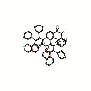 O=C1C(Cl)=C(Cl)C(Cl)(Cl)c2c1ccc(C1=C(Oc3ccccc3)OC(c3ccccc3)C(c3ccccc3)=C1c1ccccc1)c2C1=C(c2ccccc2)C(c2ccccc2)=C(c2ccccc2)OC1Oc1ccccc1